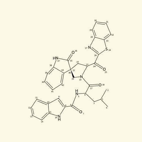 CC(C)CC(NC(=O)c1cc2ccccc2[nH]1)C(=O)N1C[C@]2(CC1C(=O)c1nc3ccccc3s1)C(=O)Nc1ccccc12